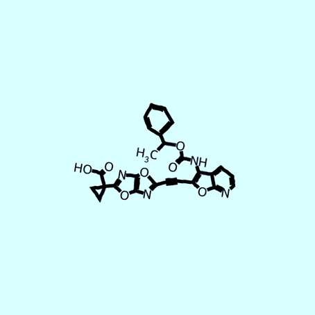 CC(OC(=O)Nc1c(C#Cc2nc3oc(C4(C(=O)O)CC4)nc3o2)oc2ncccc12)c1ccccc1